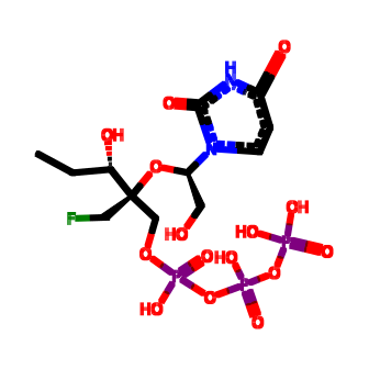 CC[C@H](O)[C@@](CF)(COP(=O)(O)OP(=O)(O)OP(=O)(O)O)O[C@H](CO)n1ccc(=O)[nH]c1=O